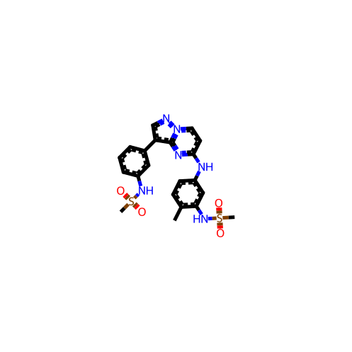 Cc1ccc(Nc2ccn3ncc(-c4cccc(NS(C)(=O)=O)c4)c3n2)cc1NS(C)(=O)=O